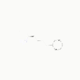 NC(=CCCCc1ccccc1)C(=O)O